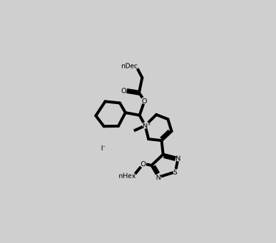 CCCCCCCCCCCC(=O)OC(C1CCCCC1)[N+]1(C)CCC=C(c2nsnc2OCCCCCC)C1.[I-]